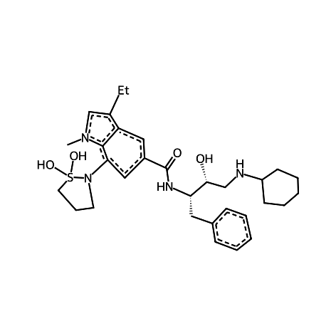 CCc1cn(C)c2c(N3CCCS3(O)O)cc(C(=O)N[C@@H](Cc3ccccc3)[C@H](O)CNC3CCCCC3)cc12